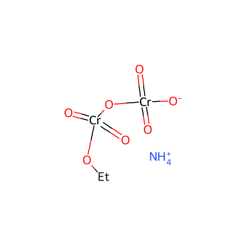 CC[O][Cr](=[O])(=[O])[O][Cr](=[O])(=[O])[O-].[NH4+]